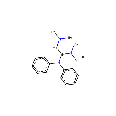 CC(C)N(BB(N(c1ccccc1)c1ccccc1)N(C(C)C)C(C)C)C(C)C.[Ti]